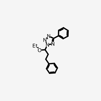 CCOC(CCc1ccccc1)n1nnc(-c2ccccc2)n1